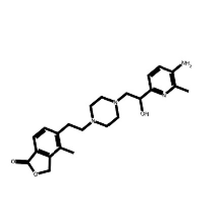 Cc1nc(C(O)CN2CCN(CCc3ccc4c(c3C)COC4=O)CC2)ccc1N